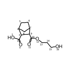 O=C(O)C1C2CCC(C2)C1C(=O)OCCCO